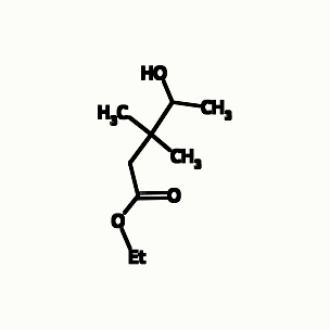 CCOC(=O)CC(C)(C)C(C)O